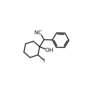 N#CC(c1ccccc1)C1(O)CCCCC1I